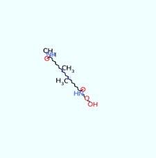 CCNC(=O)CCCCCC/C(C)=C/CC/C=C(\C)CCCCCCC(=O)NCCOCCO